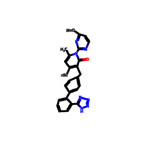 CCCCc1cc(C)n(-c2nccc(OC)n2)c(=O)c1Cc1ccc(-c2ccccc2-c2nnn[nH]2)cc1